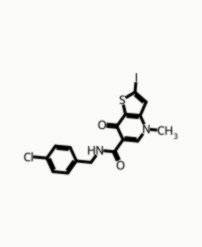 Cn1cc(C(=O)NCc2ccc(Cl)cc2)c(=O)c2sc(I)cc21